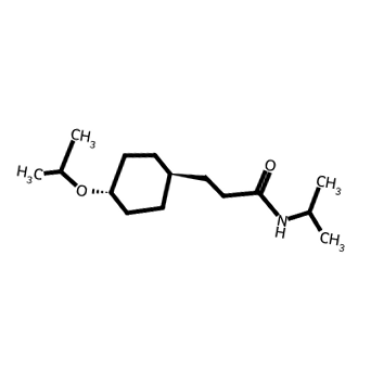 CC(C)NC(=O)CC[C@H]1CC[C@H](OC(C)C)CC1